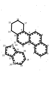 c1ccc2c(c1)ccc1c3c(ccc12)CCCC3.c1cnc2ccsc2c1